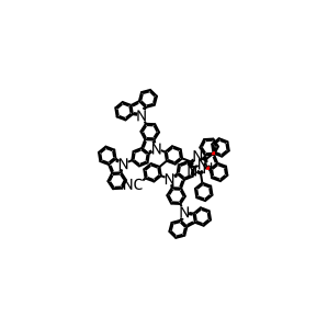 N#Cc1ccc(-c2cc(-c3nc(-c4ccccc4)nc(-c4ccccc4)n3)ccc2-n2c3ccc(-n4c5ccccc5c5ccccc54)cc3c3cc(-n4c5ccccc5c5ccccc54)ccc32)c(-n2c3ccc(-n4c5ccccc5c5ccccc54)cc3c3cc(-n4c5ccccc5c5ccccc54)ccc32)c1